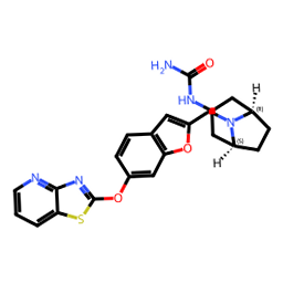 NC(=O)NC1C[C@H]2CC[C@@H](C1)N2Cc1cc2ccc(Oc3nc4ncccc4s3)cc2o1